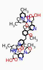 COc1c(Cc2ccn([C@@H](CC(C)C)C(=O)N[C@@H](CC(=O)O)c3cncc(N4CCOC(C)(C)C4)c3)c(=O)c2)ccc(C)c1-c1cncc([C@H](CC(=O)O)NC(=O)[C@H](CC(C)C)n2ccc(C)cc2=O)c1